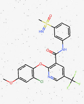 COc1ccc(Oc2ncc(C(F)(F)F)cc2C(=O)Nc2cccc(S(C)(=N)=O)c2)c(Cl)c1